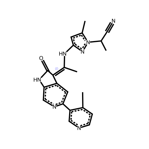 C/C(Nc1cc(C)n(C(C)C#N)n1)=C1/C(=O)Nc2cnc(-c3cnccc3C)cc21